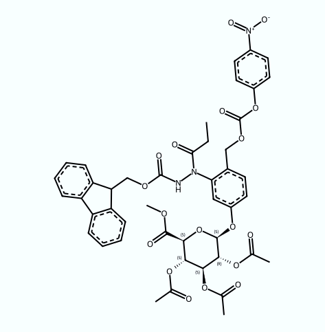 CCC(=O)N(NC(=O)OCC1c2ccccc2-c2ccccc21)c1cc(O[C@@H]2O[C@H](C(=O)OC)[C@@H](OC(C)=O)[C@H](OC(C)=O)[C@H]2OC(C)=O)ccc1COC(=O)Oc1ccc([N+](=O)[O-])cc1